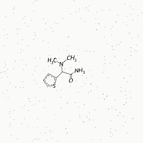 CN(C)C(C(N)=O)c1cccs1